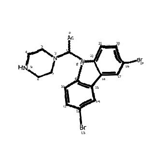 CC(=O)C(N1CCNCC1)n1c2ccc(Br)cc2c2cc(Br)ccc21